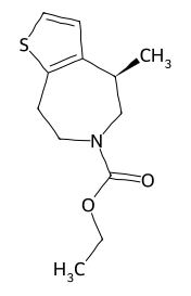 CCOC(=O)N1CCc2sccc2[C@@H](C)C1